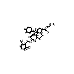 CCOC(=O)C1CCC2(S(=O)(=O)c3ccc(F)cc3)c3ccc(OCc4c(Cl)cccc4Cl)nc3CCC12